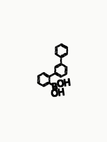 OB(O)c1ccccc1-c1cccc(-c2ccccc2)c1